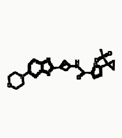 CS(=O)(=O)C1(c2ccc(C(=O)NC34CC(c5nc6ccc(N7CCOCC7)cc6s5)(C3)C4)o2)CC1